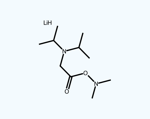 CC(C)N(CC(=O)ON(C)C)C(C)C.[LiH]